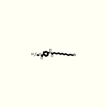 CCOC(=O)c1ccc(NC(=O)CCCCCCCCCCBr)cc1